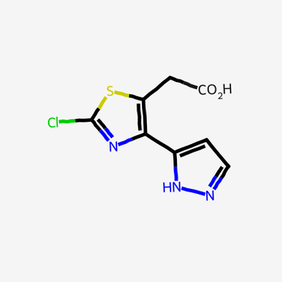 O=C(O)Cc1sc(Cl)nc1-c1ccn[nH]1